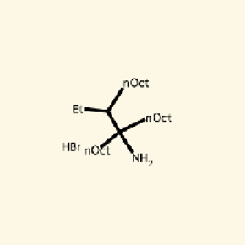 Br.CCCCCCCCC(CC)C(N)(CCCCCCCC)CCCCCCCC